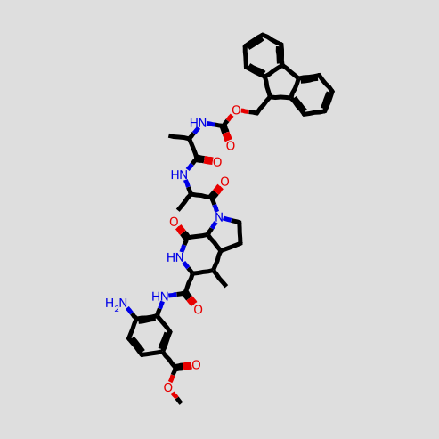 COC(=O)c1ccc(N)c(NC(=O)C2NC(=O)C3C(CCN3C(=O)C(C)NC(=O)C(C)NC(=O)OCC3c4ccccc4-c4ccccc43)C2C)c1